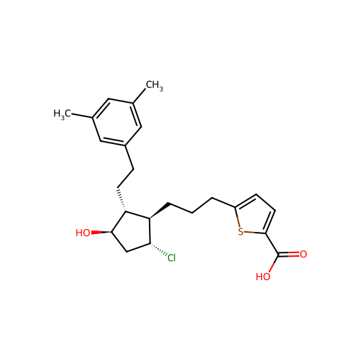 Cc1cc(C)cc(CC[C@@H]2[C@@H](CCCc3ccc(C(=O)O)s3)[C@H](Cl)C[C@H]2O)c1